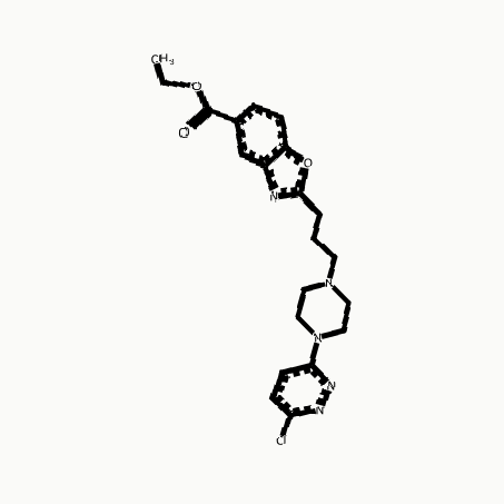 CCOC(=O)c1ccc2oc(CCCN3CCN(c4ccc(Cl)nn4)CC3)nc2c1